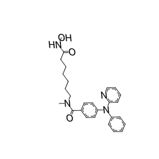 CN(CCCCCCC(=O)NO)C(=O)c1ccc(N(c2ccccc2)c2ccccn2)cc1